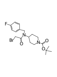 CC(C)(C)OC(=O)N1CCC(N(Cc2ccc(F)cc2)C(=O)CBr)CC1